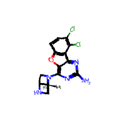 Nc1nc(N2CC3NC[C@H]32)c2oc3ccc(Cl)c(Cl)c3c2n1